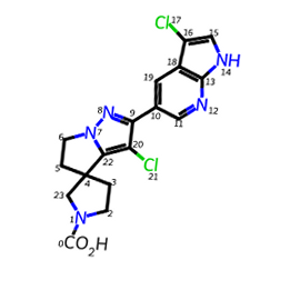 O=C(O)N1CCC2(CCn3nc(-c4cnc5[nH]cc(Cl)c5c4)c(Cl)c32)C1